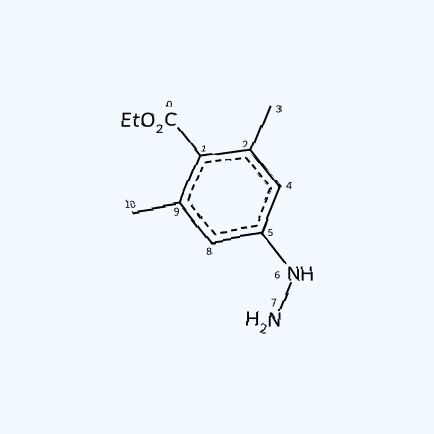 CCOC(=O)c1c(C)cc(NN)cc1C